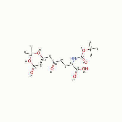 CC(C)(C)OC(=O)NC(CCC(=O)CC1=CC(=O)OC(C)(C)O1)C(=O)O